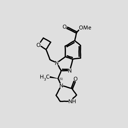 COC(=O)c1ccc2nc([C@H](C)N3CCNCC3=O)n(CC3CCO3)c2c1